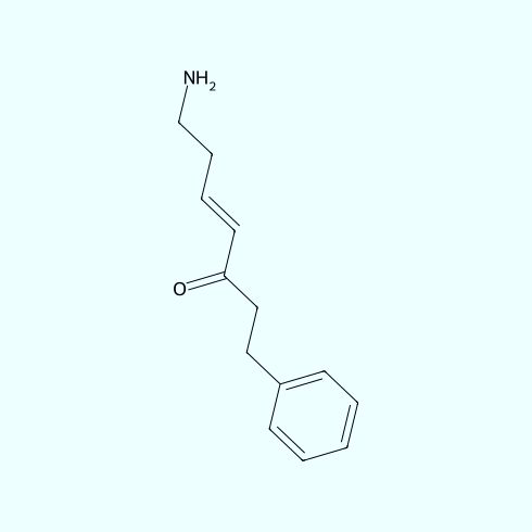 NCCC=CC(=O)CCc1ccccc1